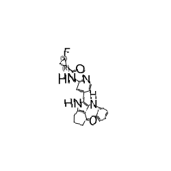 O=C1CCCc2[nH]c(-c3ccnc(NC(=O)[C@H]4C[C@@H]4F)c3)c(Nc3ccccc3)c21